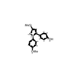 COc1ccc(-n2nc(SC)cc2-c2ccc(O)cc2)cc1